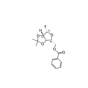 CC1(C)OC2[C@@H](COC(=O)c3ccccc3)O[C@@H](F)[C@H]2O1